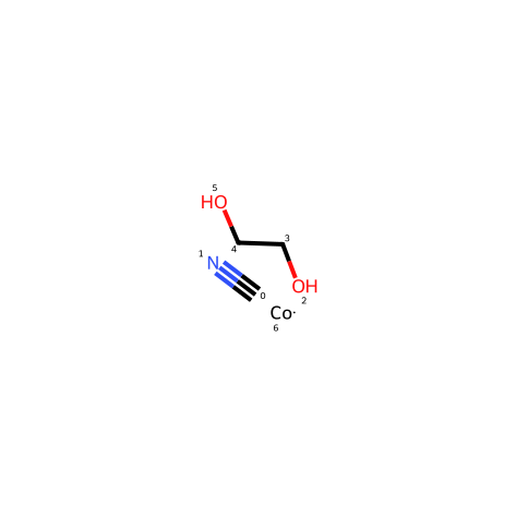 C#N.OCCO.[Co]